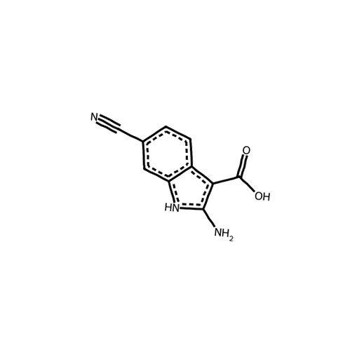 N#Cc1ccc2c(C(=O)O)c(N)[nH]c2c1